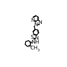 C[C@H]1CCCC[C@H]1Nc1nc2ccc(Cn3cnc4cccnc43)cc2s1